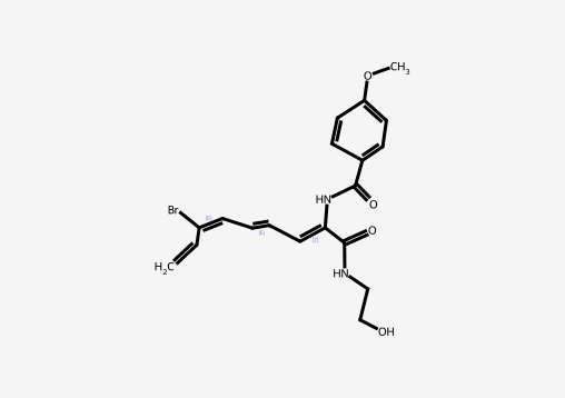 C=C\C(Br)=C/C=C/C=C(\NC(=O)c1ccc(OC)cc1)C(=O)NCCO